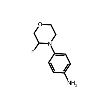 Nc1ccc(N2CCOCC2F)cc1